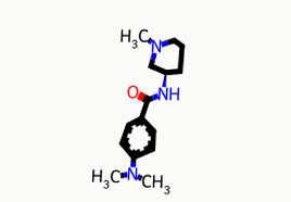 CN1CCC[C@@H](NC(=O)c2ccc(N(C)C)cc2)C1